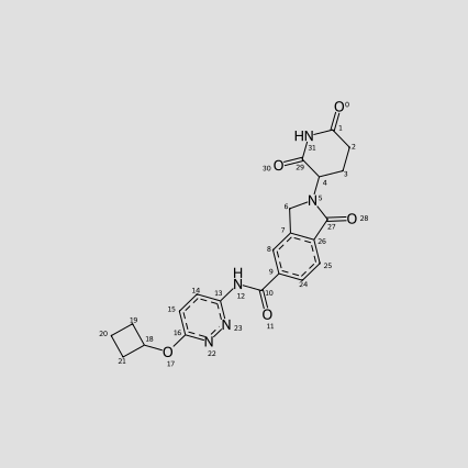 O=C1CCC(N2Cc3cc(C(=O)Nc4ccc(OC5CCC5)nn4)ccc3C2=O)C(=O)N1